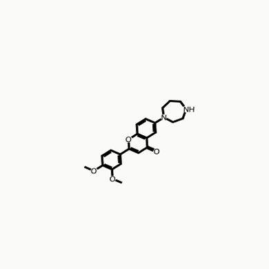 COc1ccc(-c2cc(=O)c3cc(N4CCCNCC4)ccc3o2)cc1OC